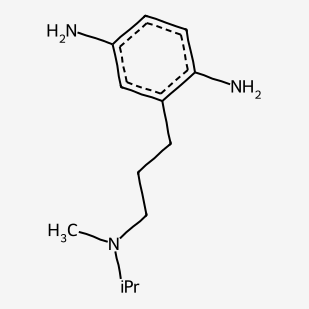 CC(C)N(C)CCCc1cc(N)ccc1N